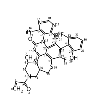 C=CC(=O)N1CC(C)N2c3nc(=O)n(-c4c(C(C)C)ncnc4C(C)C)c4c(F)c(-c5c(O)cccc5F)c(F)c(c34)SCC2C1